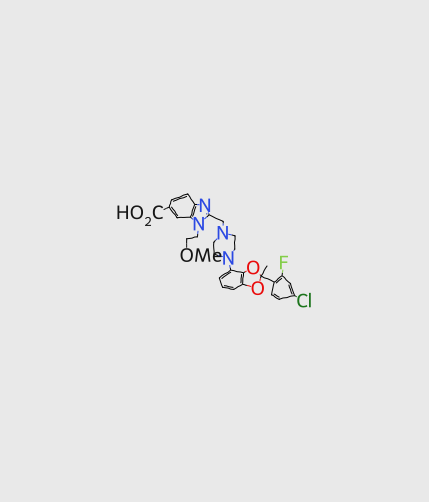 COCCn1c(CN2CCN(c3cccc4c3OC(C)(c3ccc(Cl)cc3F)O4)CC2)nc2ccc(C(=O)O)cc21